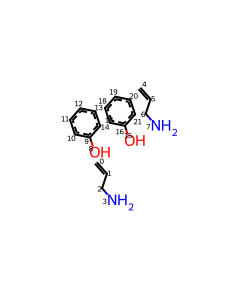 C=CCN.C=CCN.Oc1ccccc1.Oc1ccccc1